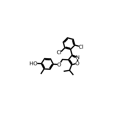 Cc1cc(OCc2c(-c3c(Cl)cccc3Cl)noc2C(C)C)ccc1O